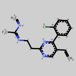 C=Cc1cnc(CC/N=C(\N=C)C(F)(F)F)nc1-c1ccccc1Cl